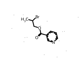 CC(Br)COC(=O)c1cccnc1